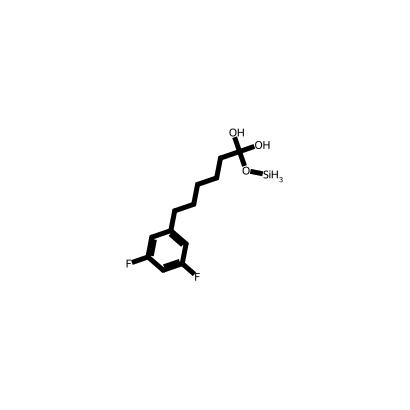 OC(O)(CCCCCc1cc(F)cc(F)c1)O[SiH3]